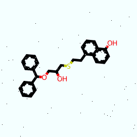 Oc1cccc2c(CCSCC(O)COC(c3ccccc3)c3ccccc3)cccc12